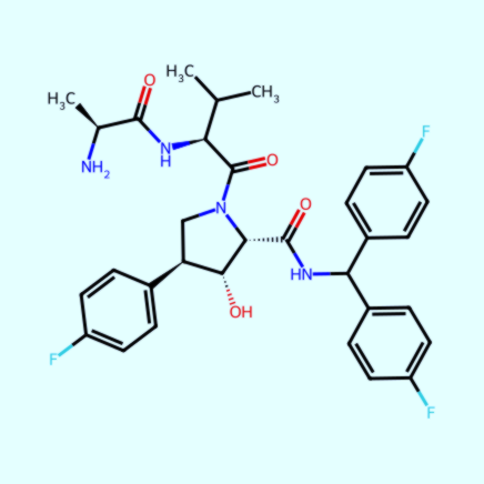 CC(C)[C@H](NC(=O)[C@H](C)N)C(=O)N1C[C@H](c2ccc(F)cc2)[C@@H](O)[C@H]1C(=O)NC(c1ccc(F)cc1)c1ccc(F)cc1